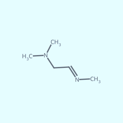 C/N=C/CN(C)C